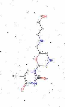 Cc1cn(C2CNCC(CNCCCO)O2)c(=O)[nH]c1=O